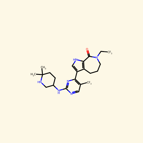 CC1(C)CCC(Nc2ncc(C(F)(F)F)c(-c3c[nH]c4c3CCCN(CC(F)(F)F)C4=O)n2)CN1